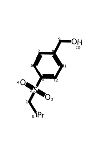 CC(C)CS(=O)(=O)c1ccc(CO)cc1